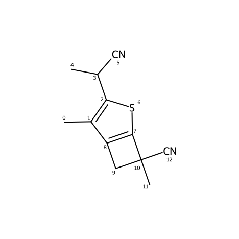 Cc1c(C(C)C#N)sc2c1CC2(C)C#N